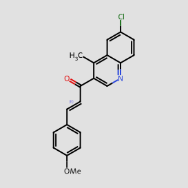 COc1ccc(/C=C/C(=O)c2cnc3ccc(Cl)cc3c2C)cc1